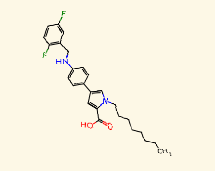 CCCCCCCCn1cc(-c2ccc(NCc3cc(F)ccc3F)cc2)cc1C(=O)O